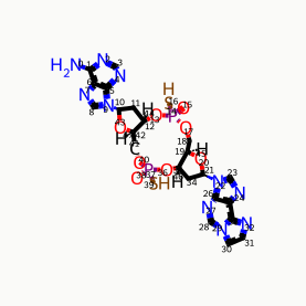 Nc1ncnc2c1ncn2[C@H]1C[C@@H]2OP(=O)(S)OC[C@H]3O[C@@H](n4cnc5c4ncn4ccnc54)C[C@@H]3OP(=O)(S)OC[C@H]2O1